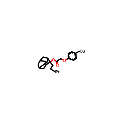 CCC(C)c1ccc(OCC(=O)OC2(CCC(C)C)C3CC4CC(C3)CC2C4)cc1